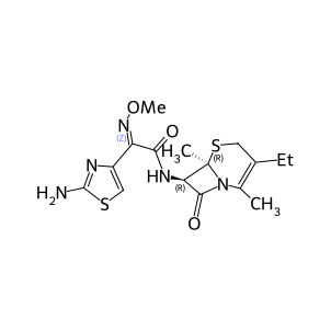 CCC1=C(C)N2C(=O)[C@@H](NC(=O)/C(=N\OC)c3csc(N)n3)[C@@]2(C)SC1